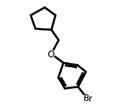 Brc1ccc(OCC2CCCC2)cc1